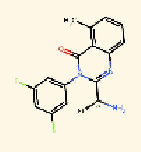 CC[C@H](N)c1nc2cccc(C)c2c(=O)n1-c1cc(F)cc(F)c1